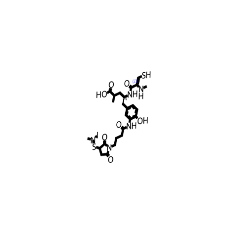 CN/C(=C\S)C(=O)N[C@@H](Cc1ccc(O)c(NC(=O)CCCN2C(=O)CC(SN(C)I)C2=O)c1)CC(C)C(=O)O